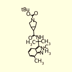 Cc1cccc2c(C(C)(C)NC(=O)C3C4CN(C(=O)OC(C)(C)C)CC43)n(C)nc12